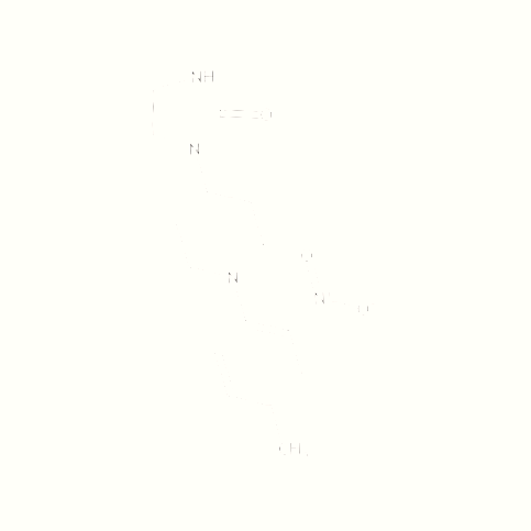 Cc1ccc(N2CCC(N3CCNC3=O)CC2)c([N+](=O)[O-])c1